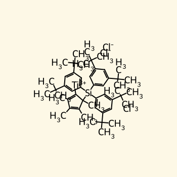 CC1=C(C)C(C)([Si](c2cc(C(C)(C)C)cc(C(C)(C)C)c2)(c2cc(C(C)(C)C)cc(C(C)(C)C)c2)c2cc(C(C)(C)C)cc(C(C)(C)C)c2)[C]([Ti+3])=C1C.[Cl-].[Cl-].[Cl-]